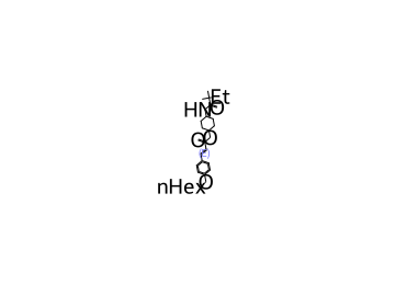 CCCCCCOc1ccc(/C=C/C(=O)OC2CCC(NC(=O)C(C)(C)CC)CC2)cc1